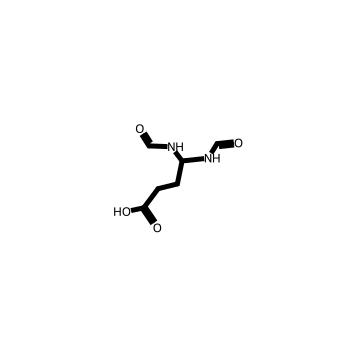 O=CNC(CCC(=O)O)NC=O